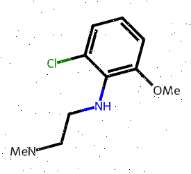 CNCCNc1c(Cl)cccc1OC